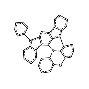 c1ccc(-n2c3ccccc3c3c4c5c(cc32)c2ccccc2n5-c2cccc3c2B4c2ccccc2O3)cc1